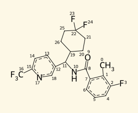 Cc1c(F)cccc1C(=O)NC(c1ccc(C(F)(F)F)nc1)C1CCC(F)(F)CC1